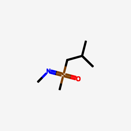 CN=S(C)(=O)CC(C)C